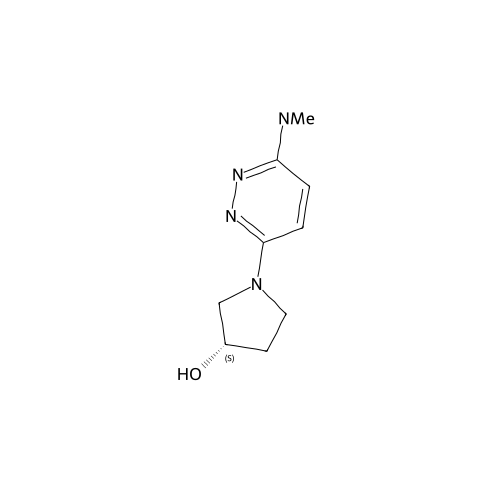 CNc1ccc(N2CC[C@H](O)C2)nn1